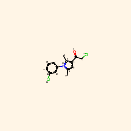 Cc1cc(C(=O)CCl)c(C)n1-c1cccc(Cl)c1